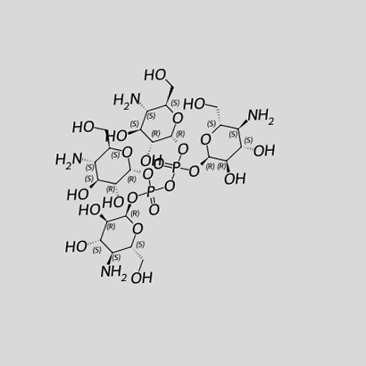 N[C@H]1[C@H](O)[C@@H](O)[C@@H](OP(=O)(O[C@H]2O[C@H](CO)[C@@H](N)[C@H](O)[C@H]2O)OP(=O)(O[C@H]2O[C@H](CO)[C@@H](N)[C@H](O)[C@H]2O)O[C@H]2O[C@H](CO)[C@@H](N)[C@H](O)[C@H]2O)O[C@@H]1CO